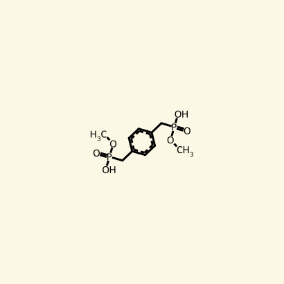 COP(=O)(O)Cc1ccc(CP(=O)(O)OC)cc1